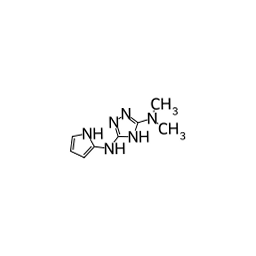 CN(C)c1nnc(Nc2ccc[nH]2)[nH]1